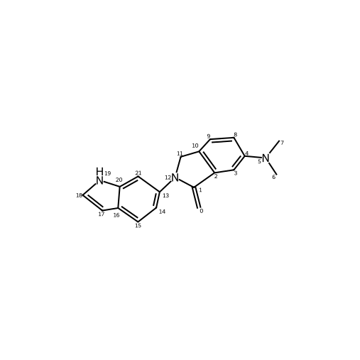 C=C1c2cc(N(C)C)ccc2CN1c1ccc2cc[nH]c2c1